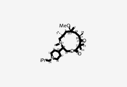 CO[C@]1(C)C[C@@H](C)CN(C)C(C2CCN(CC(C)C)CC2)COC(=O)C(C)(C)C(=O)[C@H](C)C1